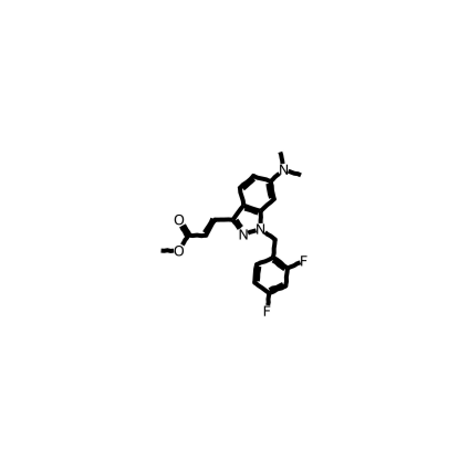 COC(=O)C=Cc1nn(Cc2ccc(F)cc2F)c2cc(N(C)C)ccc12